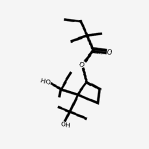 CCC(C)(C)C(=O)OC1CCC1(C(C)(C)O)C(C)(C)O